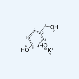 OCc1ccc(O)cc1.[K+].[OH-]